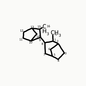 CC1C2CCC(C2)CC1C1C2CCC(C2)C1C